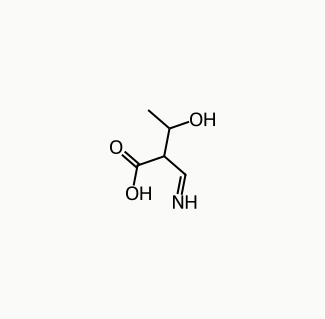 CC(O)C(C=N)C(=O)O